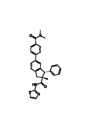 CN(C)C(=O)c1ccc(-c2ccc3c(c2)[C@H](c2ccccc2)[C@](C)(C(=O)Nc2nccs2)C3)cc1